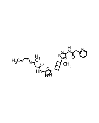 C=C/C=C\N=C(/C)CC(=O)Nc1nnc([C@H]2CC3C2C[C@@]3(C)c2nnc(NC(=O)Cc3ccccn3)s2)s1